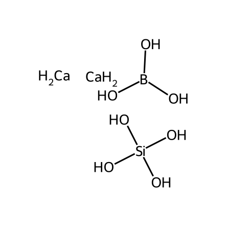 OB(O)O.O[Si](O)(O)O.[CaH2].[CaH2]